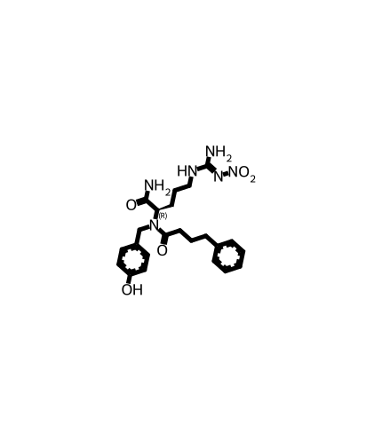 NC(=O)[C@@H](CCCNC(N)=N[N+](=O)[O-])N(Cc1ccc(O)cc1)C(=O)CCCc1ccccc1